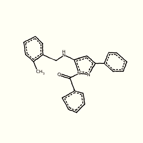 Cc1ccccc1CNc1cc(-c2ccccc2)nn1C(=O)c1ccccc1